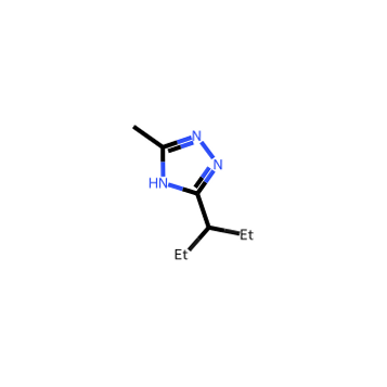 CCC(CC)c1nnc(C)[nH]1